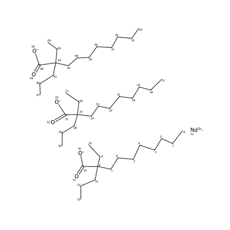 CCCCCCCCC(CC)(CCC)C(=O)[O-].CCCCCCCCC(CC)(CCC)C(=O)[O-].CCCCCCCCC(CC)(CCC)C(=O)[O-].[Nd+3]